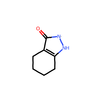 O=C1[N]NC2=C1CCCC2